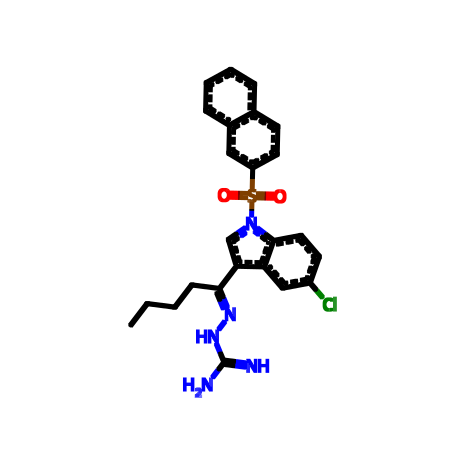 CCCCC(=NNC(=N)N)c1cn(S(=O)(=O)c2ccc3ccccc3c2)c2ccc(Cl)cc12